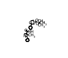 Cc1c(C(=O)Nc2ccc(C3CN(C(=O)OC(C)(C)C)CCO3)cc2)cnn1-c1ccccc1